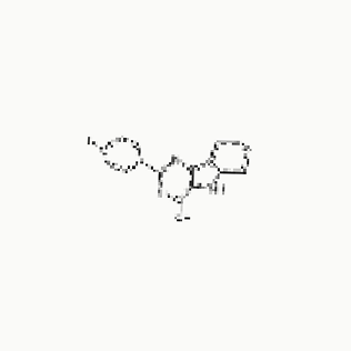 Oc1nc(-c2ccc(F)cc2)nc2c1[nH]c1ccccc12